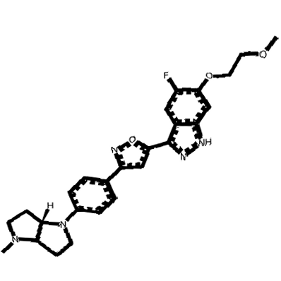 COCCOc1cc2[nH]nc(-c3cc(-c4ccc(N5CCC6[C@@H]5CCN6C)cc4)no3)c2cc1F